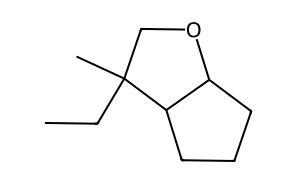 CCC1(C)COC2CCCC21